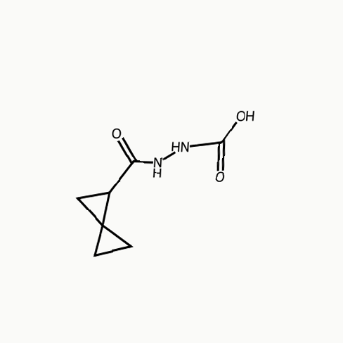 O=C(O)NNC(=O)C1CC12CC2